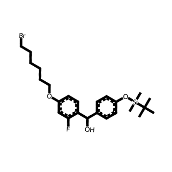 CC(C)(C)[Si](C)(C)Oc1ccc(C(O)c2ccc(OCCCCCCBr)cc2F)cc1